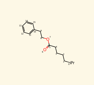 CC(C)CCCCC(=O)OCCc1ccccc1